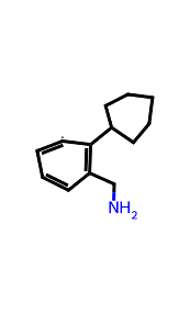 NCc1ccc[c]c1C1CCCCC1